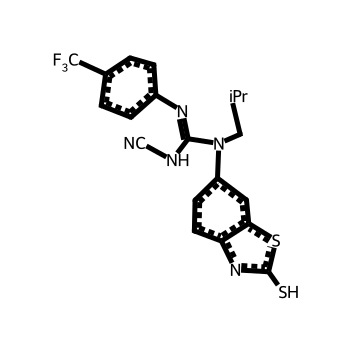 CC(C)CN(/C(=N/c1ccc(C(F)(F)F)cc1)NC#N)c1ccc2nc(S)sc2c1